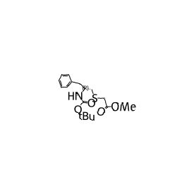 COC(=O)CSC[C@@H](Cc1ccccc1)NC(=O)OC(C)(C)C